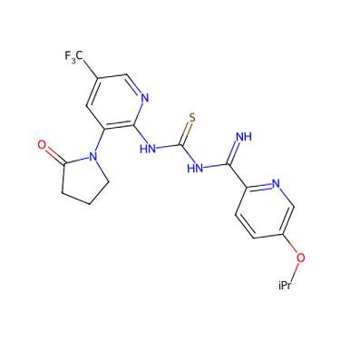 CC(C)Oc1ccc(C(=N)NC(=S)Nc2ncc(C(F)(F)F)cc2N2CCCC2=O)nc1